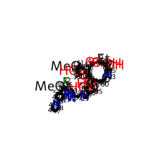 CC[C@H]1OC(=O)[C@H](C)[C@@H](C2C[C@@](C)(OC)[C@@H](O)[C@H](C)O2)[C@H](C)[C@@H](O[C@@H]2O[C@H](C)C[C@H](N(C)CCc3cn([C@H](CF)[C@H](OC)c4ccc(N5CCCC5)cc4)nn3)[C@H]2O)[C@](C)(O)C[C@@H](C)CN(C)[C@H](C)[C@@H](O)[C@]1(C)O